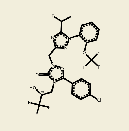 CC(F)c1nc(Cn2nc(-c3ccc(Cl)cc3)n(C[C@H](O)C(F)(F)F)c2=O)nn1-c1ccccc1OC(F)(F)F